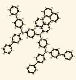 c1ccc(-c2ccc(N(c3ccc(-c4ccccc4)cc3)c3ccc(N(c4ccc(N(c5ccc(-c6ccccc6)cc5)c5ccc(-c6ccccc6)cc5)cc4)c4ccc5c6cccc7cccc(c8cccc4c85)c76)cc3)cc2)cc1